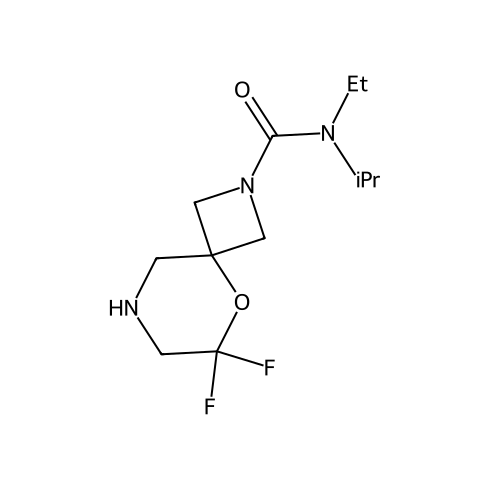 CCN(C(=O)N1CC2(CNCC(F)(F)O2)C1)C(C)C